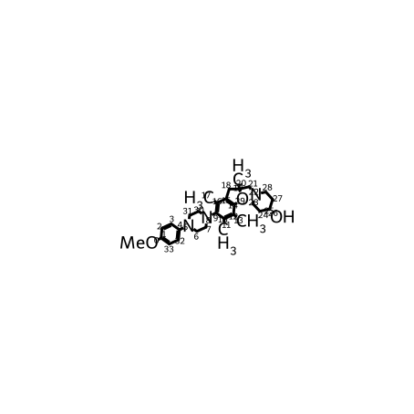 COc1ccc(N2CCN(c3c(C)c(C)c4c(c3C)CC(C)(CN3CCC(O)CC3)O4)CC2)cc1